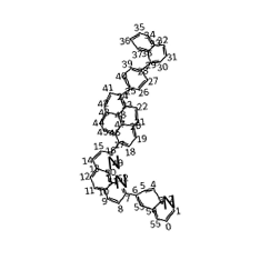 c1cnc2ccc(-c3ccc4ccc5ccc(-c6ccc7ccc8c(-c9ccc(-c%10cccc%11ccccc%10%11)cc9)ccc9ccc6c7c98)nc5c4n3)cc2c1